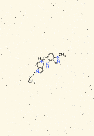 CCCCn1ccc2c(Nc3c(C)ccc4c3cnn4C)nccc21